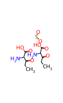 CCC(=O)C(N)C(=O)O.CCC(=O)C(N)C(=O)O.O=S=O